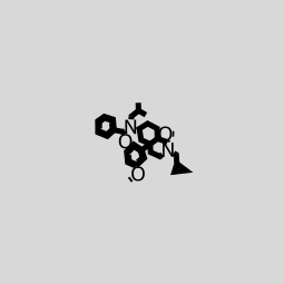 COc1cccc(C23CCN(CC4CC4)CC2(OC)CC[C@@H](N(CC(C)C)C(=O)c2ccccc2)C3)c1